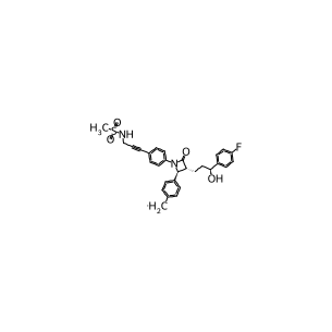 [CH2]c1ccc([C@@H]2[C@@H](CC[C@H](O)c3ccc(F)cc3)C(=O)N2c2ccc(C#CCNS(C)(=O)=O)cc2)cc1